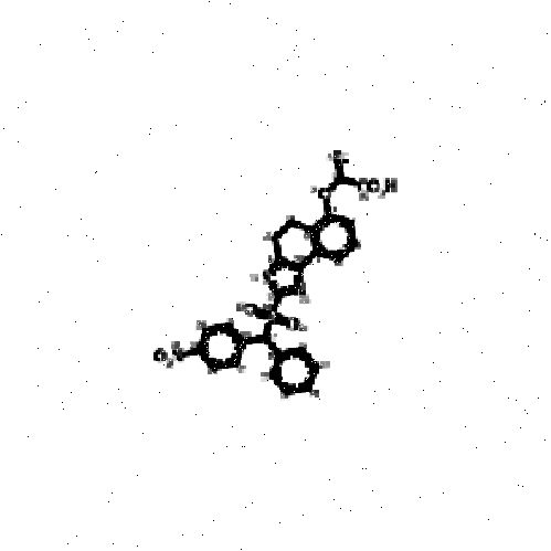 CCC(Oc1cccc2c1CCc1sc(S(=O)(=O)C(c3ccccc3)c3ccc([N+](=O)[O-])cc3)nc1-2)C(=O)O